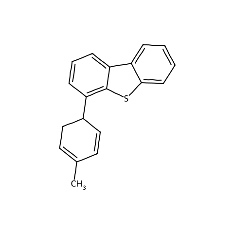 CC1=CCC(c2cccc3c2sc2ccccc23)C=C1